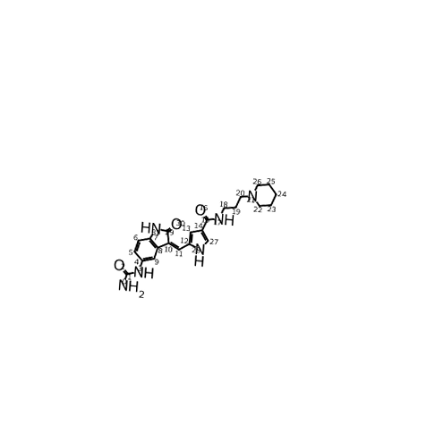 NC(=O)Nc1ccc2c(c1)C(=Cc1cc(C(=O)NCCCN3CCCCC3)c[nH]1)C(=O)N2